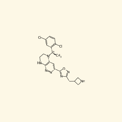 C[C@H](c1cc(Cl)ccc1Cl)N1CCNc2nnc(-c3nc(CC4CNC4)no3)cc21